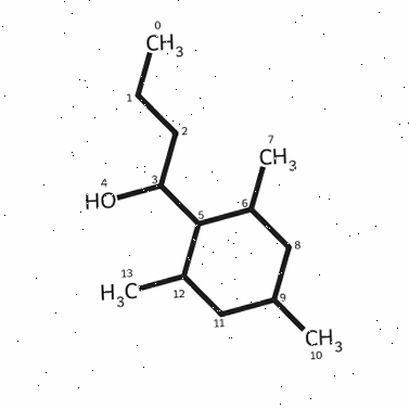 CCCC(O)C1C(C)CC(C)CC1C